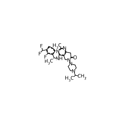 Cc1nc2c(c(N[C@H](C)c3cccc(C(F)F)c3F)n1)CN(N1CCN(C(C)C)CC1)C(=O)C2